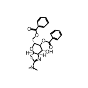 CN(C)C1=N[C@@H]2[C@@H](O)[C@H](OC(=O)c3ccccc3)[C@@H](COC(=O)c3ccccc3)O[C@@H]2S1